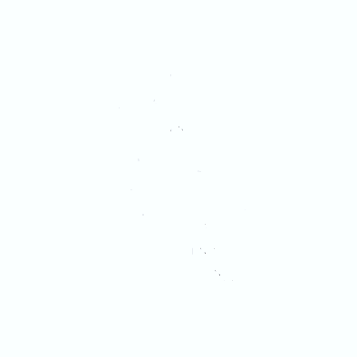 Cc1ccc(C)n1-c1cccc(C(=O)NN)c1